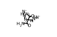 [N-]=[N+]=NC(N=[N+]=[N-])(C(N)=O)C(N)=O